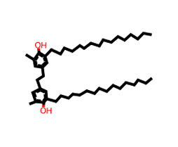 CCCCCCCCCCCCCCCCc1cc(CCc2cc(C)c(O)c(CCCCCCCCCCCCCCCC)c2)cc(C)c1O